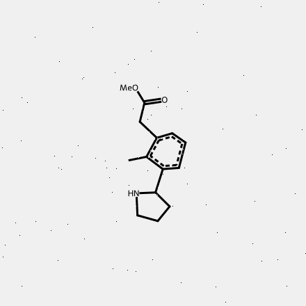 COC(=O)Cc1cccc(C2CCCN2)c1C